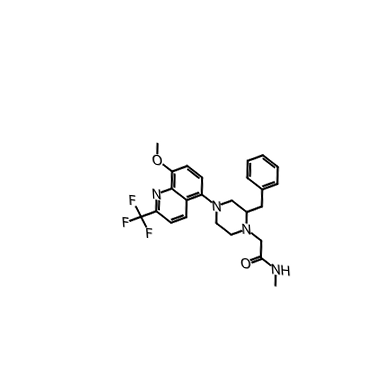 CNC(=O)CN1CCN(c2ccc(OC)c3nc(C(F)(F)F)ccc23)CC1Cc1ccccc1